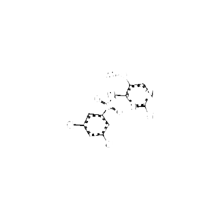 COc1cnc(Cl)nc1NS(=O)(=O)c1cc(Cl)cc(Cl)c1